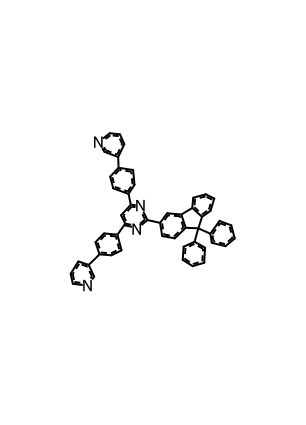 c1ccc(C2(c3ccccc3)c3ccccc3-c3cc(-c4nc(-c5ccc(-c6cccnc6)cc5)cc(-c5ccc(-c6cccnc6)cc5)n4)ccc32)cc1